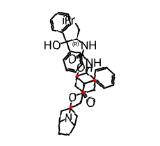 CC(C)C[C@@H](NC(=O)NC1CCC(CCN2C3CCC2CC(OC(=O)C(CO)c2ccccc2)C3)CC1)C(O)(c1ccccc1)c1ccccc1